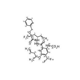 C=CCC[C@@](OCc1ccccc1)(C(=O)NNC(=O)c1nc(OC(C)CC=C)c(C(F)F)cc1NC(=O)O)C(F)(F)F